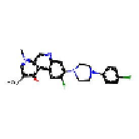 Cn1cc(C(=O)O)c(=O)c2c3cc(F)c(N4CCN(c5ccc(F)cc5)CC4)cc3ncc21